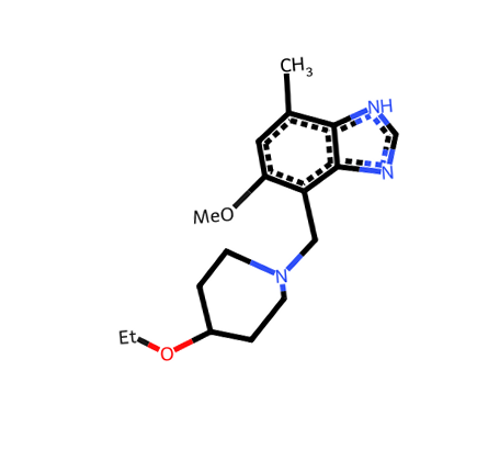 CCOC1CCN(Cc2c(OC)cc(C)c3[nH]cnc23)CC1